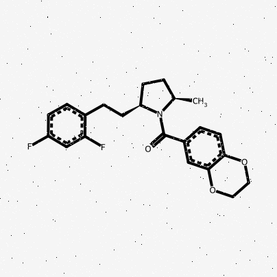 C[C@@H]1CC[C@H](CCc2ccc(F)cc2F)N1C(=O)c1ccc2c(c1)OCCO2